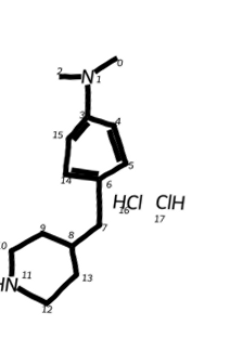 CN(C)c1ccc(CC2CCNCC2)cc1.Cl.Cl